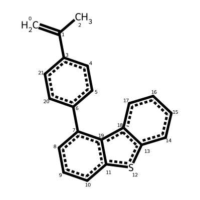 C=C(C)c1ccc(-c2cccc3sc4ccccc4c23)cc1